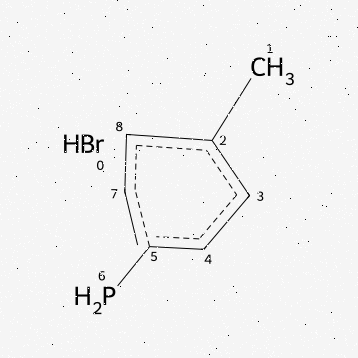 Br.Cc1ccc(P)cc1